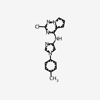 Cc1ccc(-n2cnc(Nc3nc(Cl)nn4cccc34)c2)cc1